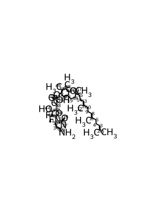 CC(C)=CCC/C(C)=C/CC/C(C)=C/CC[C@]1(C)CCc2cc(OP(=O)(O)OC[C@H]3O[C@@H](n4ccc(N)nc4=O)C(F)(F)[C@@H]3O)c(C)c(C)c2O1